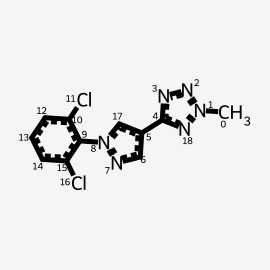 Cn1nnc(-c2cnn(-c3c(Cl)cccc3Cl)c2)n1